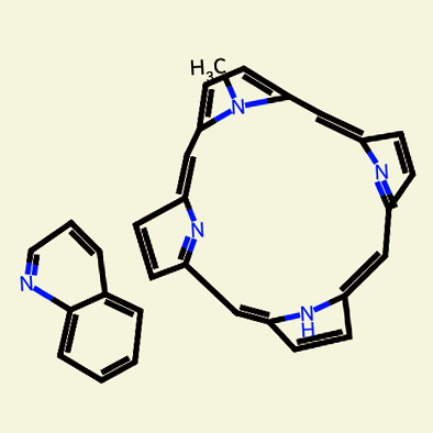 Cn1c2ccc1cc1nc(cc3ccc(cc4nc(c2)C=C4)[nH]3)C=C1.c1ccc2ncccc2c1